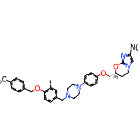 Cc1cc(CN2CCN(c3ccc(OC[C@H]4CCn5cc([N+](=O)[O-])nc5O4)cc3)CC2)ccc1OCc1ccc(C(F)(F)F)cc1